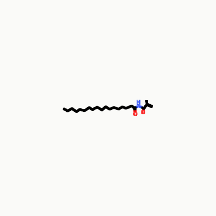 C=C(C)C(=O)NC(=O)CCCCCCCCCCCCCCCCC